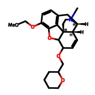 COCOc1ccc2c3c1OC1C(OCC4CCCCO4)C=C[C@H]4[C@@H](C2)N(C)CC[C@]314